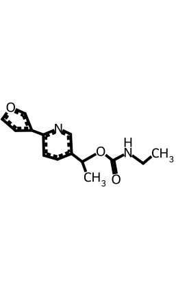 CCNC(=O)OC(C)c1ccc(-c2ccoc2)nc1